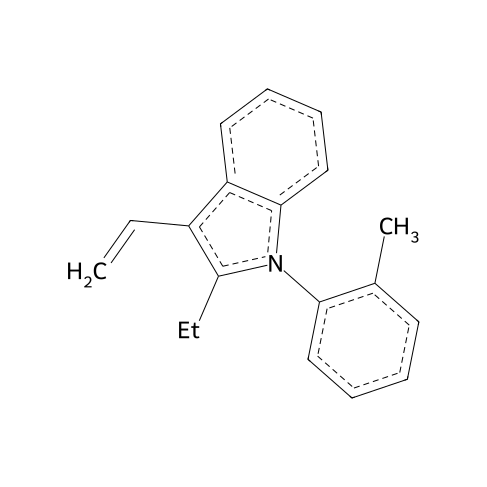 C=Cc1c(CC)n(-c2ccccc2C)c2ccccc12